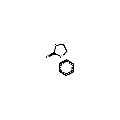 O=C1OCCO1.c1ccccc1